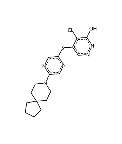 Oc1nncc(Sc2cnc(N3CCC4(CCCC4)CC3)cn2)c1Cl